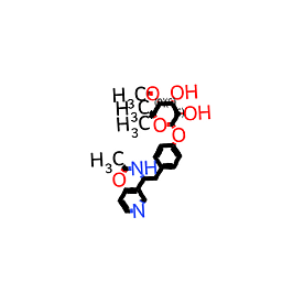 CO[C@@H]1[C@@H](O)[C@H](O)C(Oc2ccc(CC(NC(C)=O)c3cccnc3)cc2)OC1(C)C